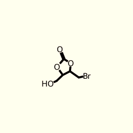 O=C1OC(CO)C(CBr)O1